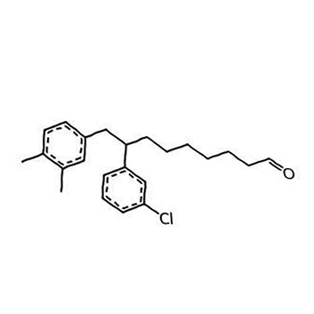 Cc1ccc(CC(CCCCCCC=O)c2cccc(Cl)c2)cc1C